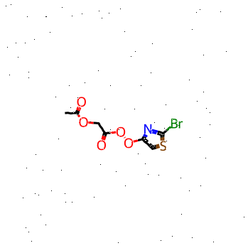 CC(=O)OCC(=O)OOc1csc(Br)n1